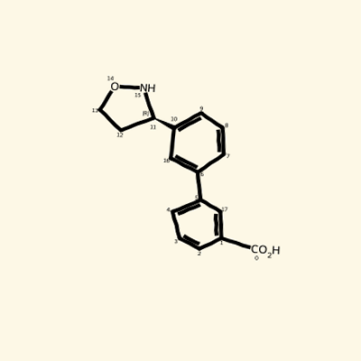 O=C(O)c1cccc(-c2cccc([C@H]3CCON3)c2)c1